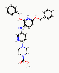 CC(C)(C)OC(=O)N1CCN(c2ccc(Nc3ccc(OCc4ccccc4)nc3OCc3ccccc3)cn2)CC1